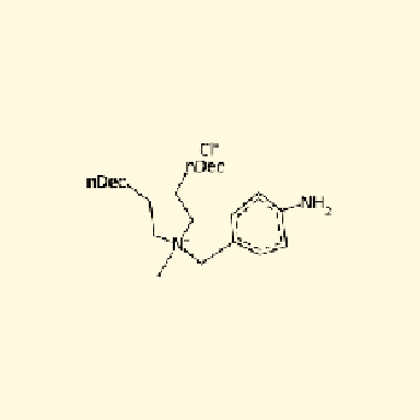 CCCCCCCCCCCC[N+](C)(CCCCCCCCCCCC)Cc1ccc(N)cc1.[Cl-]